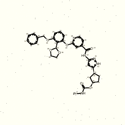 CC(C)NC(=O)O[C@@H]1CC[C@H](c2cc(NC(=O)c3ccnc(Oc4cccc(OCc5ccccc5)c4C4OCCO4)c3)n[nH]2)C1